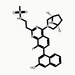 CS(=O)(=O)NCCc1nc(N2C[C@H]3CC[C@@H](C2)N3)c2ccc(-c3cc(O)cc4ccccc34)c(F)c2n1